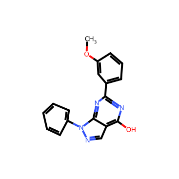 COc1cccc(-c2nc(O)c3cnn(-c4ccccc4)c3n2)c1